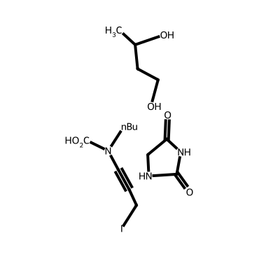 CC(O)CCO.CCCCN(C#CCI)C(=O)O.O=C1CNC(=O)N1